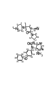 CN1CCN(C(C)(C)/C=C(/C#N)C(=O)N2CC[C@H](n3c(=O)n(-c4ccc(Oc5ccccc5)cc4)c4c(N)ncnc43)C2)CC1